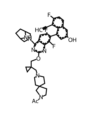 C#Cc1c(F)ccc2cc(O)cc(-c3c(F)cc4c(N5CC6CCC(C5)N6)nc(OCC5(CN6CCC7(CC6)CCN(C(C)=O)C7)CC5)nc4c3F)c12